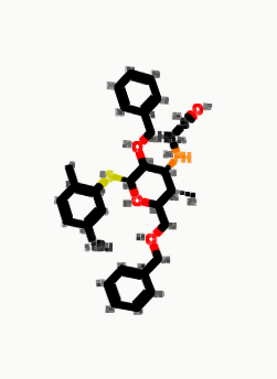 Cc1ccc(C(C)(C)C)cc1S[C@@H]1OC(COCc2ccccc2)[C@@H](C)[C@H](PBB=O)C1OCc1ccccc1